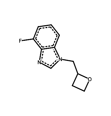 Fc1cccc2c1ncn2CC1CCO1